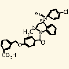 CC(=O)N(c1ccc(Cl)cc1)[C@@H]1C[C@H](C)N(C(=O)c2ccc(OCc3cccc(C(=O)O)c3)cc2)c2ccccc21